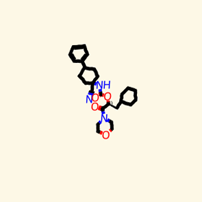 N#CC1(NC(=O)O[C@@H](CC2CCCCC2)C(=O)N2CCOCC2)CCC(c2ccccc2)CC1